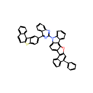 c1ccc(-c2cc3oc4c(ccc5c4c4ccccc4n5-c4nc(-c5ccc6sc7ccc8ccccc8c7c6c5)c5ccccc5n4)c3c3ccccc23)cc1